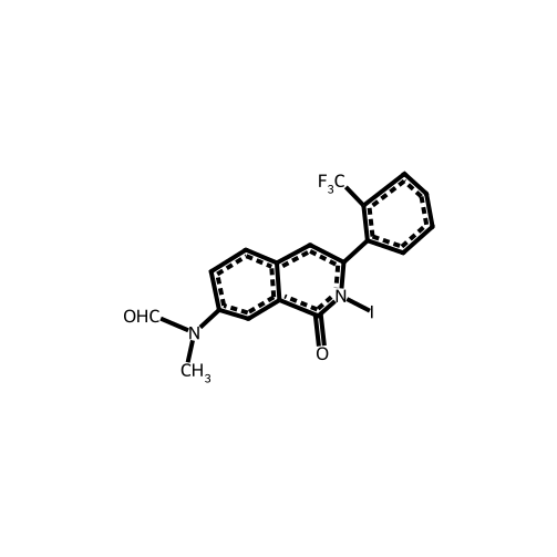 CN(C=O)c1ccc2cc(-c3ccccc3C(F)(F)F)n(I)c(=O)c2c1